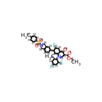 CCOC(=O)c1cn(-c2ccc(F)cc2F)c2c(C)c(-c3ccc4c(c3)CN(S(=O)(=O)c3ccc(C)cc3)C4)c(F)cc2c1=O